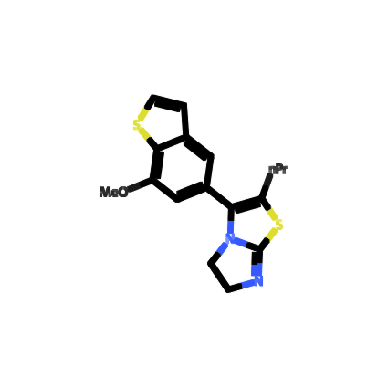 CCCC1=C(c2cc(OC)c3sccc3c2)N2CCN=C2S1